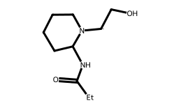 CCC(=O)NC1CCCCN1[CH]CO